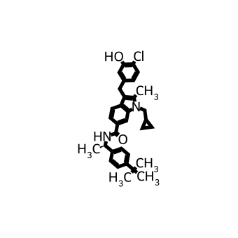 Cc1c(Cc2ccc(Cl)c(O)c2)c2ccc(C(=O)N[C@@H](C)c3ccc(C(C)(C)C)cc3)cc2n1CC1CC1